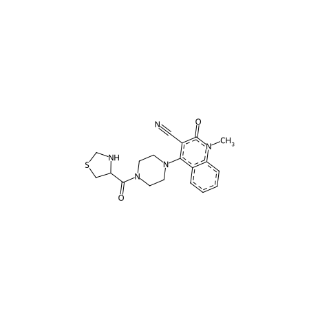 Cn1c(=O)c(C#N)c(N2CCN(C(=O)C3CSCN3)CC2)c2ccccc21